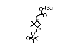 CC(C)(C)OC(=O)C[C@H]1C[C@@H](COS(C)(=O)=O)C1(C)C